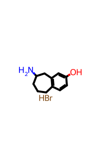 Br.NC1CCCc2ccc(O)cc2C1